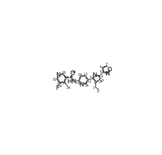 CCc1sc(-c2ccon2)nc1-c1ccc(NC(=O)c2cncc(F)c2C)nc1